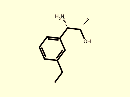 CCc1cccc([C@H](N)[C@H](C)O)c1